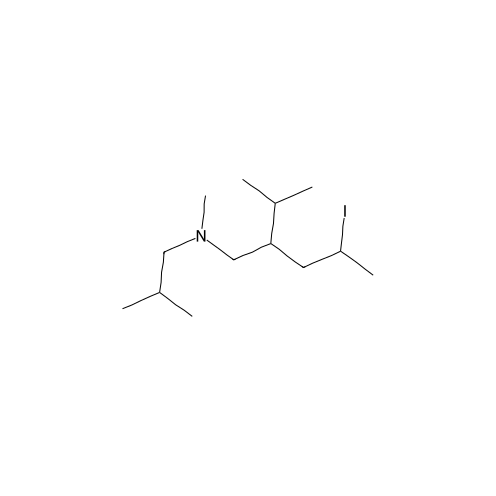 CC(C)CN(C)CC(CC(C)I)C(C)C